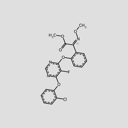 CO/N=C(\C(=O)OC)c1ccccc1Oc1ncnc(Oc2ccccc2Cl)c1F